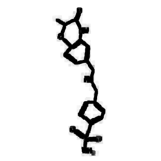 CC1Oc2ccc(CNCc3ccc(S(N)(=O)=O)cc3)cc2NC1=O